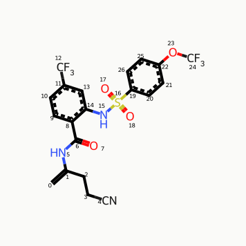 C=C(CCC#N)NC(=O)c1ccc(C(F)(F)F)cc1NS(=O)(=O)c1ccc(OC(F)(F)F)cc1